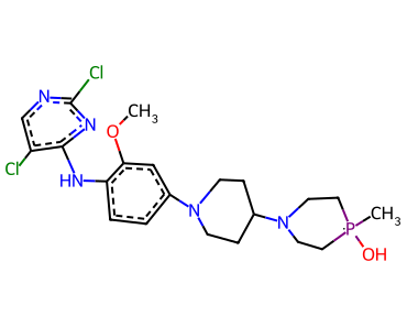 COc1cc(N2CCC(N3CC[P](C)(O)CC3)CC2)ccc1Nc1nc(Cl)ncc1Cl